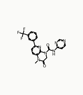 CN1C(=O)CN(C(=O)Nc2ccncn2)c2nc(-c3cccc(C(F)(F)F)c3)ccc21